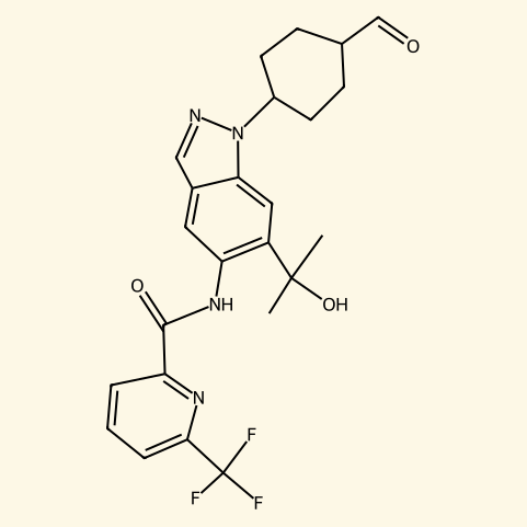 CC(C)(O)c1cc2c(cnn2C2CCC(C=O)CC2)cc1NC(=O)c1cccc(C(F)(F)F)n1